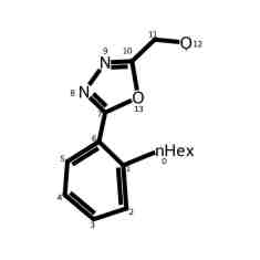 CCCCCCc1ccccc1-c1nnc(C[O])o1